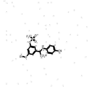 CCOc1cc(OS(=O)(=O)C(F)(F)F)cc(C(Nc2ccc(C#N)cc2)C(=O)O)c1